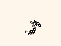 C#C[C@]1(O)CCC2[C@@H]3CCc4cc(F)c(N5CCN(C(=O)[C@H](C)N(CCC)C(=O)c6ccc7ccccc7n6)CC5)cc4C3CC[C@@]21C